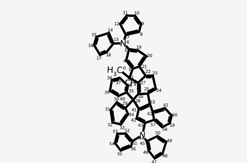 CC1(C)c2cc(N(c3ccccc3)c3ccccc3)ccc2-c2ccc3c(c21)C(c1ccccc1)(c1ccccc1)c1cc(N(c2ccccc2)c2ccccc2)c2ccccc2c1-3